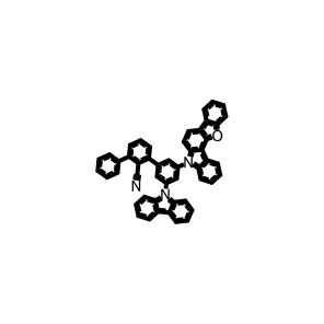 N#Cc1c(-c2ccccc2)cccc1-c1cc(-n2c3ccccc3c3ccccc32)cc(-n2c3ccccc3c3c4oc5ccccc5c4ccc32)c1